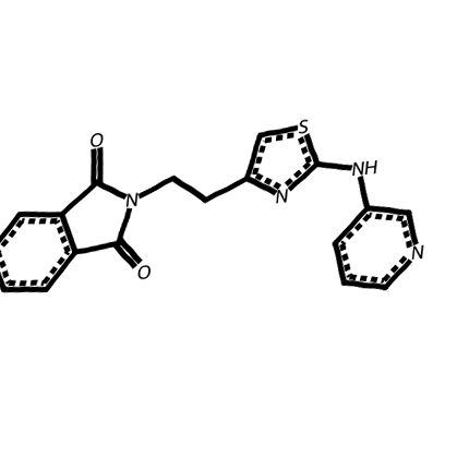 O=C1c2ccccc2C(=O)N1CCc1csc(Nc2cccnc2)n1